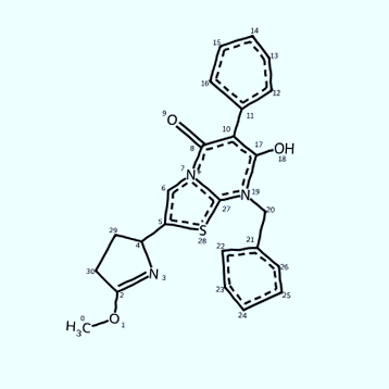 COC1=NC(c2c[n+]3c(=O)c(-c4ccccc4)c(O)n(Cc4ccccc4)c3s2)CC1